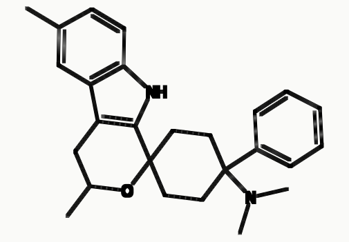 Cc1ccc2[nH]c3c(c2c1)CC(C)OC31CCC(c2ccccc2)(N(C)C)CC1